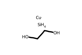 OCCO.[Cu].[SiH4]